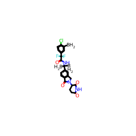 Bc1cc(C(F)(F)C(=O)NC(B)(B)c2ccc3c(c2)CN(C2CCC(=O)NC2=O)C3=O)ccc1Cl